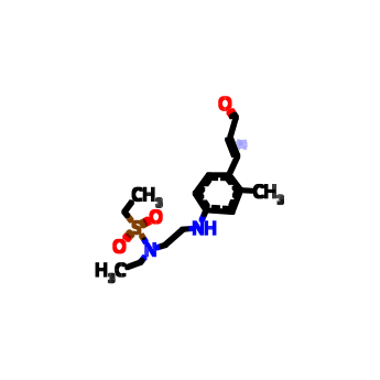 CCN(CCNc1ccc(/C=C/C=O)c(C)c1)S(=O)(=O)CC